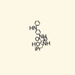 CC(C)CC1NC(=O)C(C(=O)Nc2ccc(Nc3ccccc3)cc2)=C1O